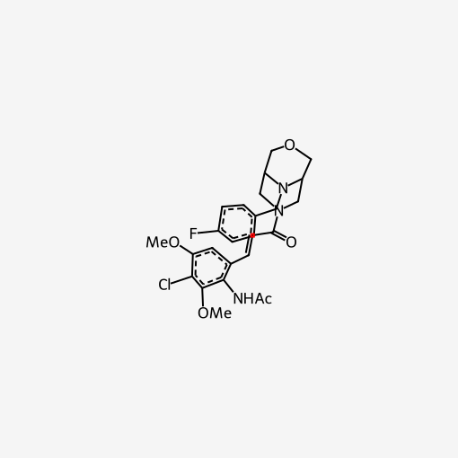 COc1cc(C=CC(=O)N2CC3COCC(C2)N3Cc2ccc(F)cc2)c(NC(C)=O)c(OC)c1Cl